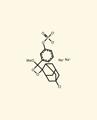 COC1(c2cccc(OP(=O)([O-])[O-])c2)OOC12C1CC3CC2CC(Cl)(C3)C1.[Na+].[Na+]